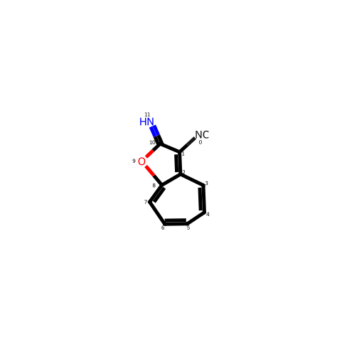 [C-]#[N+]c1c2cccccc-2oc1=N